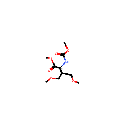 COCC(COC)[C@H](NC(=O)OC)C(=O)OC